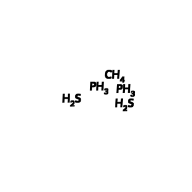 C.P.P.S.S